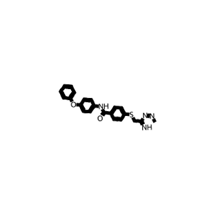 C/N=N\C(=N)CSc1ccc(C(=O)Nc2ccc(Oc3ccccc3)cc2)cc1